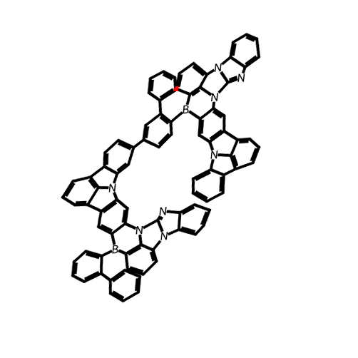 c1ccc(-c2ccccc2B2c3cc4c5cccc6c7ccc(-c8ccc(B9c%10cc%11c(cc%10-n%10c%12c9cccc%12n9c%12ccccc%12nc%109)c9cccc%10c%12ccccc%12n%11c%109)c(-c9ccccc9)c8)cc7n(c4cc3-n3c4c2cccc4n2c4ccccc4nc32)c65)cc1